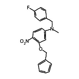 CN(Cc1ccc(F)cc1)c1ccc([N+](=O)[O-])c(OCc2ccccc2)c1